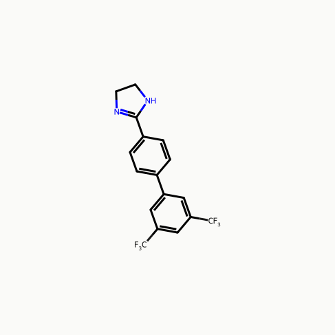 FC(F)(F)c1cc(-c2ccc(C3=NCCN3)cc2)cc(C(F)(F)F)c1